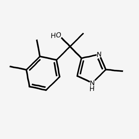 Cc1nc(C(C)(O)c2cccc(C)c2C)c[nH]1